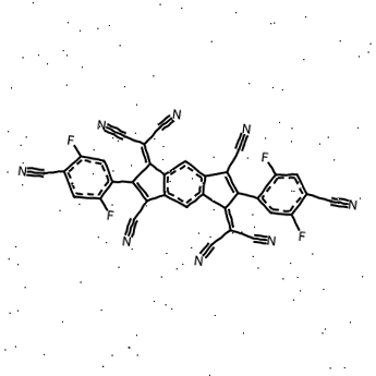 N#CC(C#N)=C1C(c2cc(F)c(C#N)cc2F)=C(C#N)c2cc3c(cc21)C(C#N)=C(c1cc(F)c(C#N)cc1F)C3=C(C#N)C#N